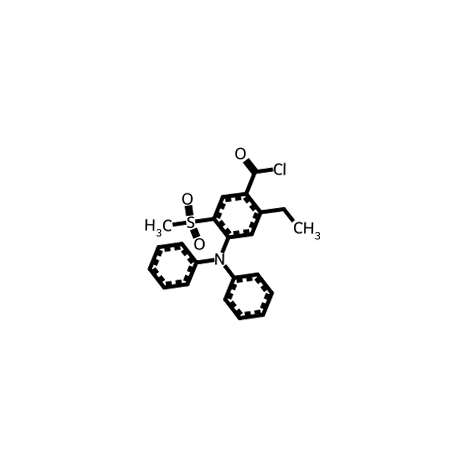 CCc1cc(N(c2ccccc2)c2ccccc2)c(S(C)(=O)=O)cc1C(=O)Cl